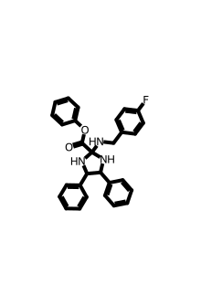 O=C(Oc1ccccc1)C1(NCc2ccc(F)cc2)NC(c2ccccc2)C(c2ccccc2)N1